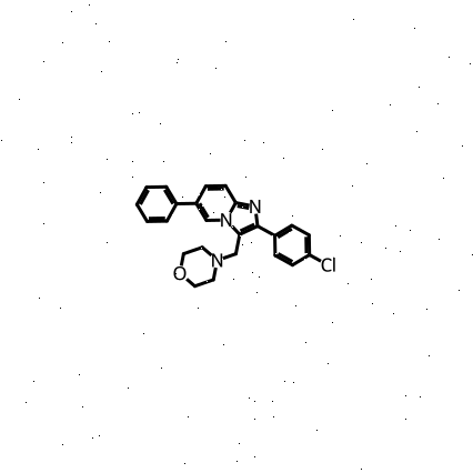 Clc1ccc(-c2nc3ccc(-c4ccccc4)cn3c2CN2CCOCC2)cc1